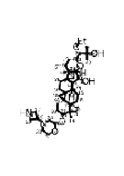 CCO[C@@H]([C@H]1C[C@@H](C)[C@H]2[C@H](O1)[C@H](O)[C@@]1(C)[C@@H]3CC[C@H]4C(C)(C)[C@@H](O[C@H]5CN(C6CNC6)CCO5)CC[C@@]45CC35CC[C@]21C)C(C)(C)O